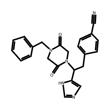 N#Cc1ccc(CC(c2cnc[nH]2)N2CC(=O)N(Cc3ccccc3)CC2=O)cc1